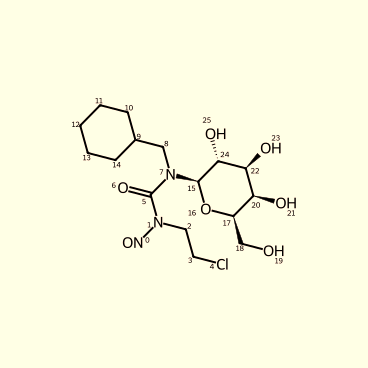 O=NN(CCCl)C(=O)N(CC1CCCCC1)[C@@H]1O[C@H](CO)[C@H](O)[C@H](O)[C@H]1O